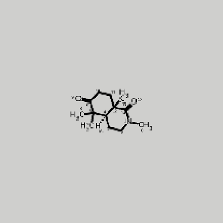 CN1CC[C@H]2C(C)(C)C(=O)CCC2(C)C1=O